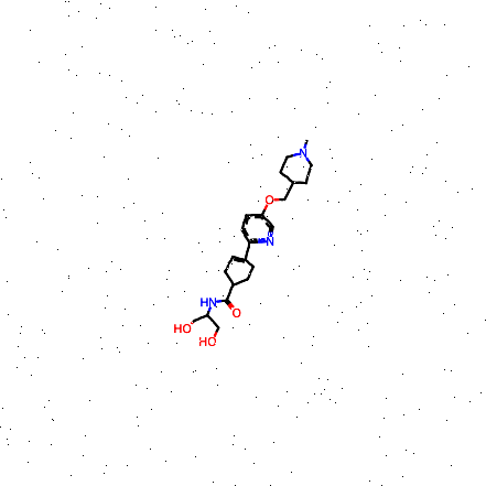 CN1CCC(COc2ccc(C3=CCC(C(=O)NC(CO)CO)CC3)nc2)CC1